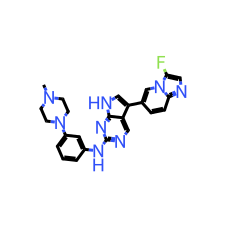 CN1CCN(c2cccc(Nc3ncc4c(-c5ccc6ncc(F)n6c5)c[nH]c4n3)c2)CC1